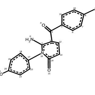 Nc1c(C(=O)c2ccc(F)cc2)ccc(=O)n1-c1ccc(O)cc1